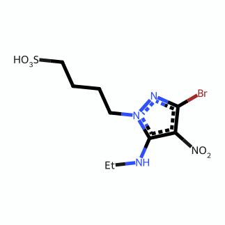 CCNc1c([N+](=O)[O-])c(Br)nn1CCCCS(=O)(=O)O